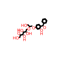 O=C(c1ccccc1)c1ccc(OCC(CO)OC[C@H](O)[C@@H](O)[C@H](O)[C@H](O)CO)cc1O